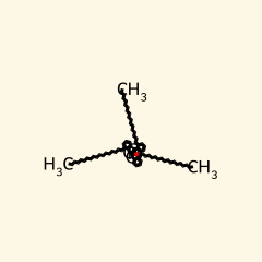 CCCCCCCCCCCCCCCCCCc1ccccc1OP(=O)(Oc1ccccc1CCCCCCCCCCCCCCCCCC)Oc1ccccc1CCCCCCCCCCCCCCCCCC